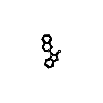 O=c1sc2ccccc2n1N1[C]c2ccccc2CC1